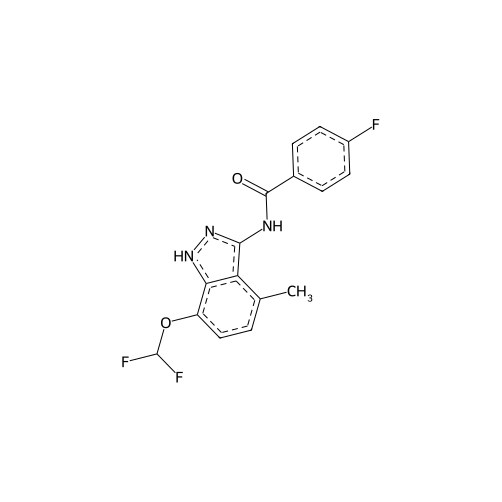 Cc1ccc(OC(F)F)c2[nH]nc(NC(=O)c3ccc(F)cc3)c12